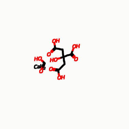 O=C(O)CC(O)(CC(=O)O)C(=O)O.O=CO.[CaH2]